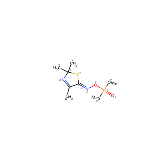 COP(=O)(O/N=C1\SC(C)(C)N=C1C)SC